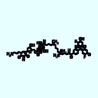 CN(CCCC[N+](C)(C)CCCNC(=O)c1ccc(-c2c3cc(F)c(=O)cc-3oc3cc(O)c(F)cc23)c(S(=O)(=O)O)c1)CCCNP(=O)(O)OP(=O)(O)OP(=O)(O)OC[C@H]1O[C@@H](n2cc(/C=C/CN)c(=O)[nH]c2=O)C[C@H]1O